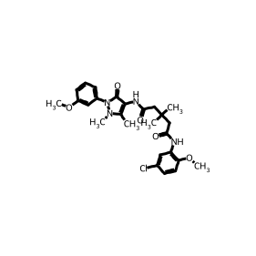 COc1cccc(-n2c(=O)c(NC(=O)CC(C)(C)CC(=O)Nc3cc(Cl)ccc3OC)c(C)n2C)c1